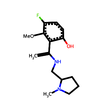 C=C(NCC1CCCN1C)c1c(O)ccc(F)c1OC